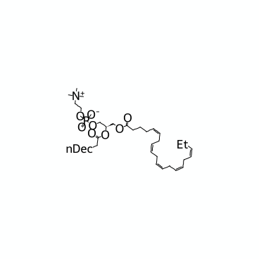 CC/C=C\C/C=C\C/C=C\C/C=C\C/C=C\CCCC(=O)OC[C@H](COP(=O)([O-])OCC[N+](C)(C)C)OC(=O)CCCCCCCCCCC